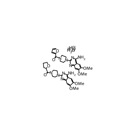 COc1cc2nc(N3CCN(C(=O)C4CCCO4)CC3)nc(N)c2cc1OC.COc1cc2nc(N3CCN(C(=O)c4ccco4)CC3)nc(N)c2cc1OC.Cl.O.O